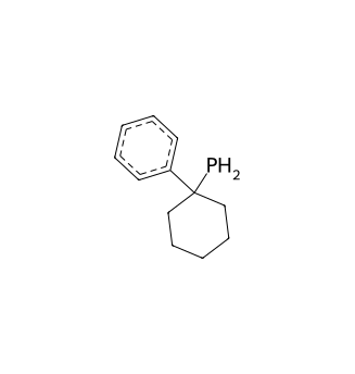 PC1(c2ccccc2)CCCCC1